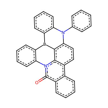 O=c1c2ccccc2c2ccc3c4c2n1-c1ccccc1B4c1ccccc1N3c1ccccc1